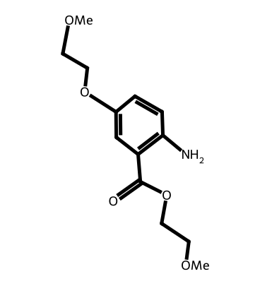 COCCOC(=O)c1cc(OCCOC)ccc1N